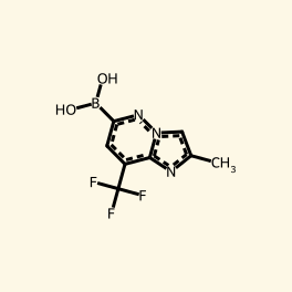 Cc1cn2nc(B(O)O)cc(C(F)(F)F)c2n1